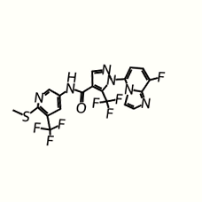 CSc1ncc(NC(=O)c2cnn(-c3ccc(F)c4nccn34)c2C(F)(F)F)cc1C(F)(F)F